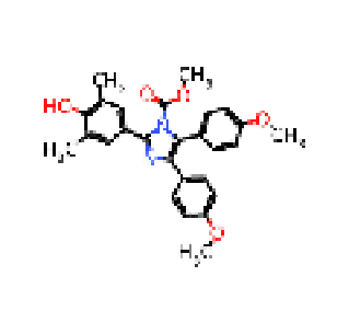 COC(=O)n1c(-c2cc(C)c(O)c(C)c2)nc(-c2ccc(OC)cc2)c1-c1ccc(OC)cc1